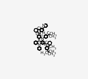 CC(C)(C)c1ccc(N2c3cc(N4c5ccc(-c6ccccn6)cc5C5(C)CCCCC45C)ccc3B3c4ccccc4N(c4ccccc4)c4cc(N5c6ccc(C(C)(C)C)cc6C6(C)CCCCC56C)cc2c43)cc1